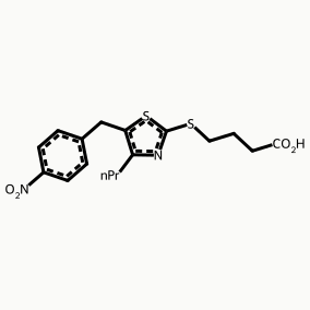 CCCc1nc(SCCCC(=O)O)sc1Cc1ccc([N+](=O)[O-])cc1